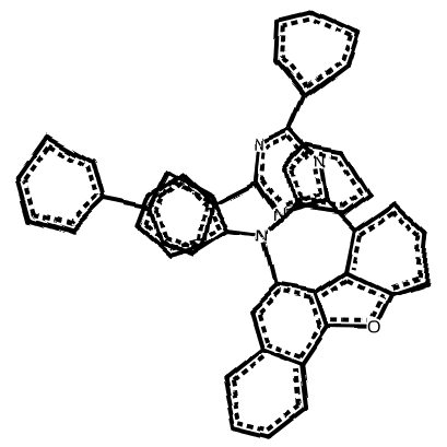 c1ccc(-c2ccc(N(c3ccccc3)c3cc4ccccc4c4oc5cccc(-c6nc(-c7ccccc7)nc(-c7ccccc7)n6)c5c34)cc2)cc1